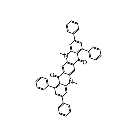 Cn1c2cc3c(=O)c4c(-c5ccccc5)cc(-c5ccccc5)cc4n(C)c3cc2c(=O)c2c(-c3ccccc3)cc(-c3ccccc3)cc21